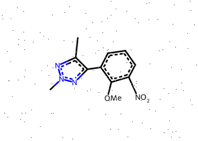 COc1c(-c2nn(C)nc2C)cccc1[N+](=O)[O-]